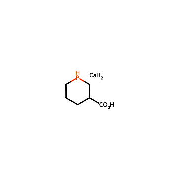 O=C(O)C1CCCPC1.[CaH2]